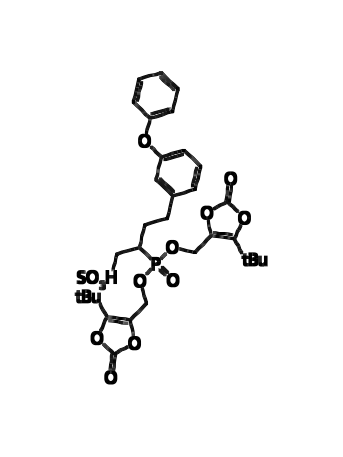 CC(C)(C)c1oc(=O)oc1COP(=O)(OCc1oc(=O)oc1C(C)(C)C)C(CCc1cccc(Oc2ccccc2)c1)CS(=O)(=O)O